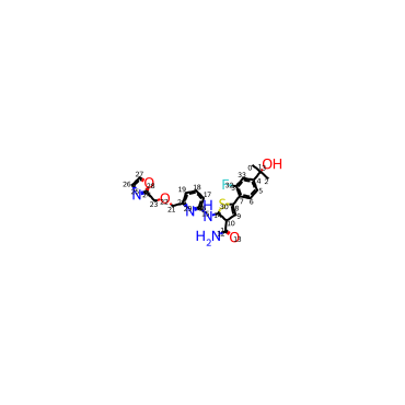 CC(C)(O)c1ccc(C2=CC(C(N)=O)C(Nc3cccc(COCc4ncco4)n3)S2)c(F)c1